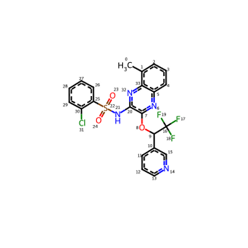 Cc1cccc2nc(OC(c3cccnc3)C(F)(F)F)c(NS(=O)(=O)c3ccccc3Cl)nc12